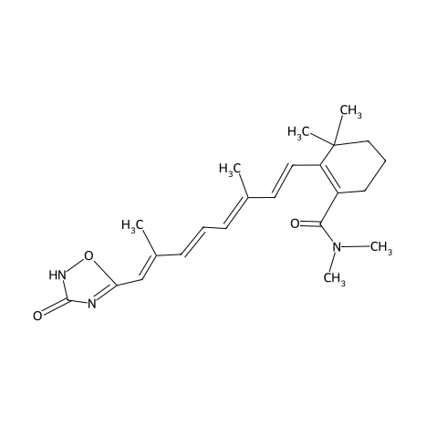 CC(/C=C/C1=C(C(=O)N(C)C)CCCC1(C)C)=C\C=C\C(C)=C\c1nc(=O)[nH]o1